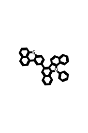 c1ccc(-n2c3c4ccccc4ccc3c3c(-c4ccc5c(c4)-c4cccc6cccc(c46)S5)cc4ccccc4c32)cc1